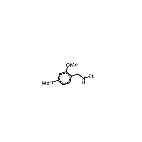 C[CH]NCc1ccc(OC)cc1OC